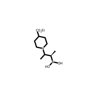 CCOC(=O)C1CCN(C(C)[C@@H](C)B(O)O)CC1